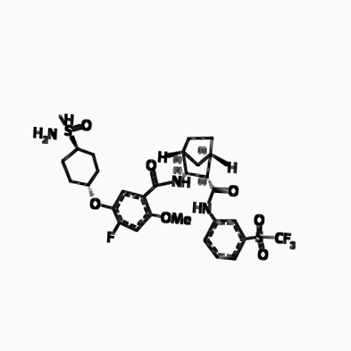 COc1cc(F)c(O[C@H]2CC[C@H]([SH](C)(N)=O)CC2)cc1C(=O)N[C@@H]1[C@@H]2CC[C@@H](C2)[C@@H]1C(=O)Nc1cccc(S(=O)(=O)C(F)(F)F)c1